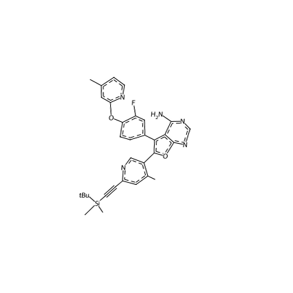 Cc1ccnc(Oc2ccc(-c3c(-c4cnc(C#C[Si](C)(C)C(C)(C)C)cc4C)oc4ncnc(N)c34)cc2F)c1